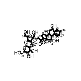 C[C@H]1C[C@@H]2[C@H]([C@@H](O)C[C@@]3(C)[C@H]2CC[C@]3(O)C(=O)COC2(CO)O[C@H](CO)[C@@H](O[C@H]3O[C@@H](CO)[C@@H](O)[C@@H](O)[C@@H]3O)[C@@H]2O)[C@@]2(C)C=CC(=O)C=C12